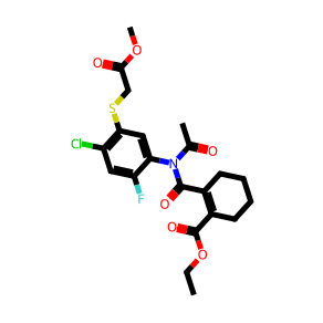 CCOC(=O)C1=C(C(=O)N(C(C)=O)c2cc(SCC(=O)OC)c(Cl)cc2F)CCCC1